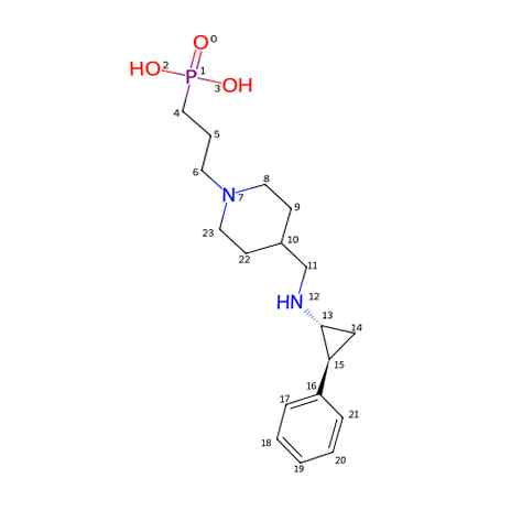 O=P(O)(O)CCCN1CCC(CN[C@@H]2C[C@H]2c2ccccc2)CC1